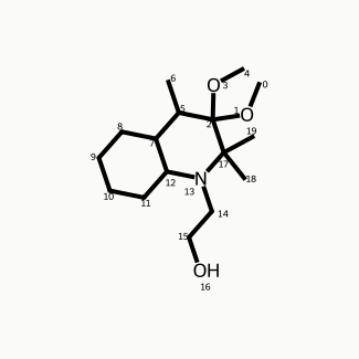 COC1(OC)C(C)C2CCCCC2N(CCO)C1(C)C